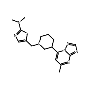 Cc1cc(C2CCCN(Cc3cnc(N(C)C)s3)C2)n2ncnc2n1